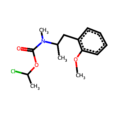 COc1ccccc1CC(C)N(C)C(=O)OC(C)Cl